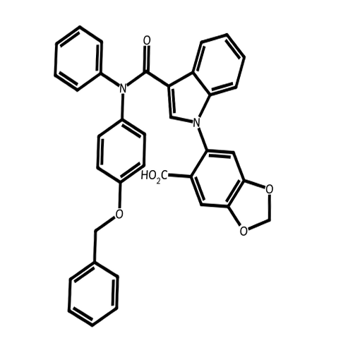 O=C(O)c1cc2c(cc1-n1cc(C(=O)N(c3ccccc3)c3ccc(OCc4ccccc4)cc3)c3ccccc31)OCO2